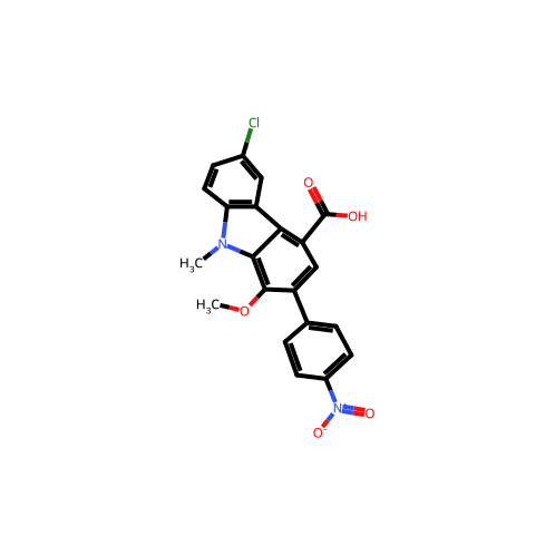 COc1c(-c2ccc([N+](=O)[O-])cc2)cc(C(=O)O)c2c3cc(Cl)ccc3n(C)c12